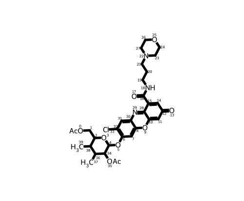 CC(=O)OCC1OC(Oc2cc3oc4cc(=O)cc(C(=O)NCCCN5CCOCC5)c-4nc3cc2Cl)C(OC(C)=O)C(C)C1C